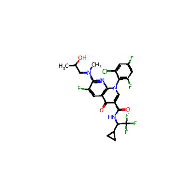 CC(O)CN(C)c1nc2c(cc1F)c(=O)c(C(=O)NC(C1CC1)C(F)(F)F)cn2-c1c(F)cc(F)cc1Cl